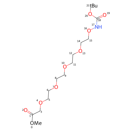 COC(=O)COCCOCCOCCOCCONC(=O)OC(C)(C)C